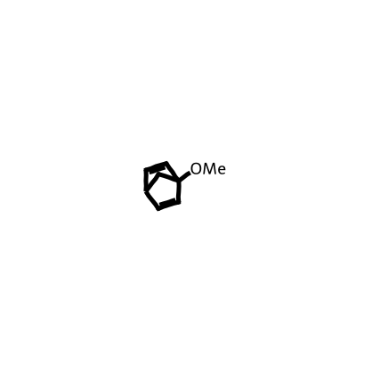 COC12C=CC(C=C1)C2